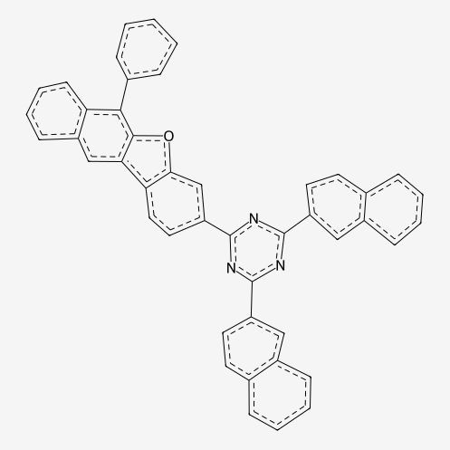 c1ccc(-c2c3ccccc3cc3c2oc2cc(-c4nc(-c5ccc6ccccc6c5)nc(-c5ccc6ccccc6c5)n4)ccc23)cc1